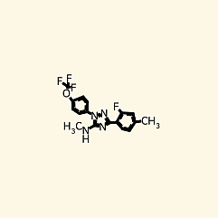 CNc1nc(-c2ccc(C)cc2F)nn1-c1ccc(OC(F)(F)F)cc1